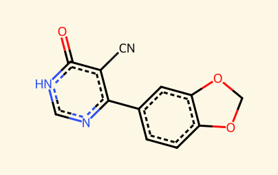 N#Cc1c(-c2ccc3c(c2)OCO3)nc[nH]c1=O